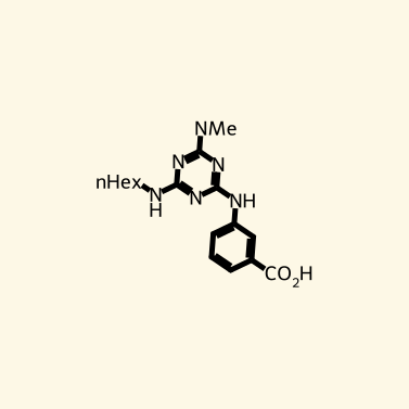 CCCCCCNc1nc(NC)nc(Nc2cccc(C(=O)O)c2)n1